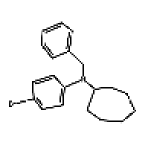 Brc1ccc(N(Cc2ccccc2)C2CCCCCC2)cc1